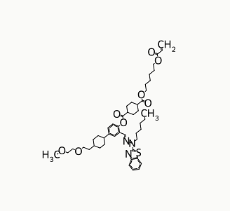 C=CC(=O)OCCCCCCOC(=O)C1CCC(C(=O)Oc2ccc(C3CCC(CCOCCOC)CC3)cc2/C=N/N(CCCCCC)c2nc3ccccc3s2)CC1